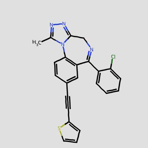 Cc1nnc2n1-c1ccc(C#Cc3cccs3)cc1C(c1ccccc1Cl)=NC2